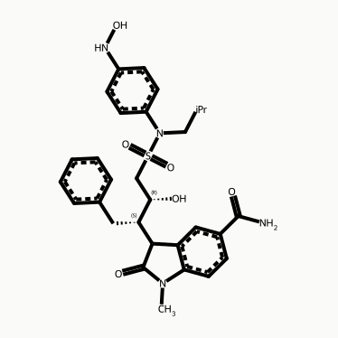 CC(C)CN(c1ccc(NO)cc1)S(=O)(=O)C[C@H](O)[C@@H](Cc1ccccc1)C1C(=O)N(C)c2ccc(C(N)=O)cc21